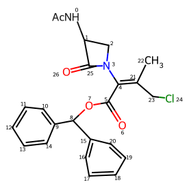 CC(=O)NC1CN(C(C(=O)OC(c2ccccc2)c2ccccc2)=C(C)CCl)C1=O